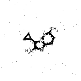 Cc1ccc2nc(N)c(C3CC3)n2n1